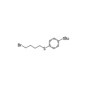 CC(C)(C)c1ccc(SCCCCBr)cc1